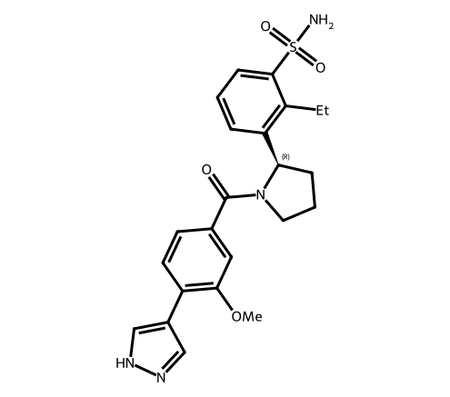 CCc1c([C@H]2CCCN2C(=O)c2ccc(-c3cn[nH]c3)c(OC)c2)cccc1S(N)(=O)=O